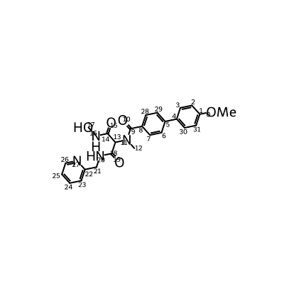 COc1ccc(-c2ccc(C(=O)N(C)C(C(=O)NO)C(=O)NCc3ccccn3)cc2)cc1